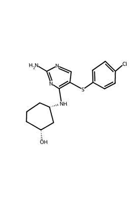 Nc1ncc(Sc2ccc(Cl)cc2)c(N[C@H]2CCC[C@@H](O)C2)n1